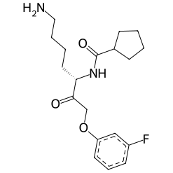 NCCCC[C@H](NC(=O)C1CCCC1)C(=O)COc1cccc(F)c1